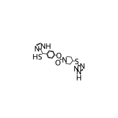 O=C(Oc1ccc(C(S)c2ncc[nH]2)cc1)N1CCC(Sc2nc[nH]n2)CC1